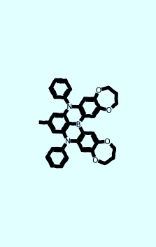 Cc1cc2c3c(c1)N(c1ccccc1)c1cc4c(cc1B3c1cc3c(cc1N2c1ccccc1)OCCCO3)OCCCO4